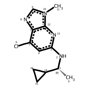 C[C@@H](Nc1cc(Cl)c2ncn(C)c2n1)C1CC1